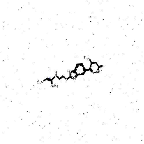 CN/C(=C\[N+](=O)[O-])NCCCc1nc2cc(C3=NNC(=O)CC3C)ccc2[nH]1